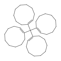 C1=C(C(C2=CCCCCCCCC2)(C2=CCCCCCCCC2)C2=CCCCCCCCC2)CCCCCCCC1